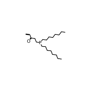 C=CC(=O)CCP(CCCCCCCC)CCCCCCCC